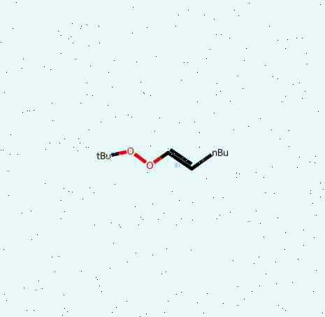 CCCC/C=C/OOC(C)(C)C